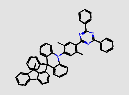 Cc1cc(N2c3ccccc3C(c3ccccc3)(c3cccc4c3C(C)(C)c3ccccc3-4)c3ccccc32)c(C)cc1-c1nc(-c2ccccc2)nc(-c2ccccc2)n1